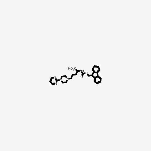 O=C(NC(CCCN1CCN(c2ncccn2)CC1)C(=O)O)OCC1c2ccccc2-c2ccccc21